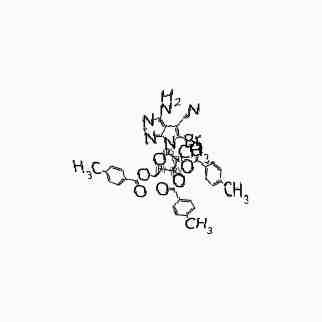 Cc1ccc(C(=O)OC[C@H]2O[C@@H](n3c(Br)c(C#N)c4c(N)ncnc43)[C@](C)(OC(=O)c3ccc(C)cc3)[C@@H]2OC(=O)c2ccc(C)cc2)cc1